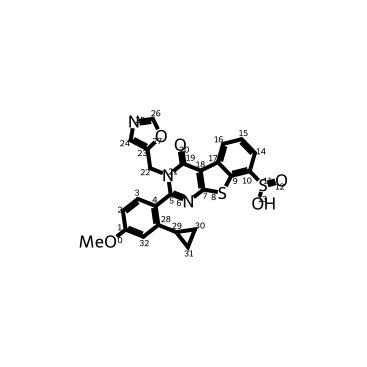 COc1ccc(-c2nc3sc4c(S(=O)O)cccc4c3c(=O)n2Cc2cnco2)c(C2CC2)c1